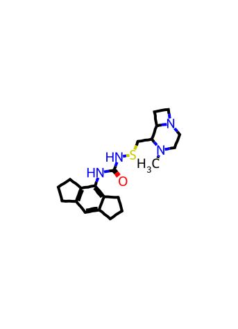 CN1CCN2CCC2C1CSNC(=O)Nc1c2c(cc3c1CCC3)CCC2